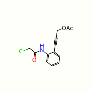 CC(=O)OCC#Cc1ccccc1NC(=O)CCl